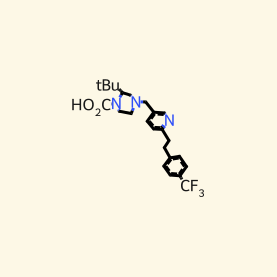 CC(C)(C)C1CN(Cc2ccc(CCc3ccc(C(F)(F)F)cc3)nc2)CCN1C(=O)O